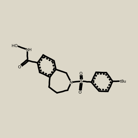 CC(C)(C)c1ccc(S(=O)(=O)N2CCCc3cc(C(=O)NO)ccc3C2)cc1